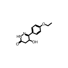 CCOc1ccc(C2=NNC(=O)CC2O)cc1